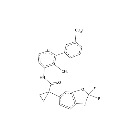 Cc1c(NC(=O)C2(c3ccc4c(c3)OC(F)(F)O4)CC2)ccnc1-c1cccc(C(=O)O)c1